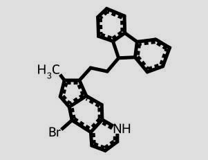 Cc1cc2c(Br)c3ccc[nH]c3cc2c1CCC1c2ccccc2-c2ccccc21